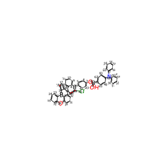 OB(Oc1ccc(B2c3ccccc3C3(c4ccccc4B4c5ccccc5Oc5cccc3c54)c3cccc(Cl)c32)cc1)c1ccc(N(c2ccccc2)c2ccccc2)cc1